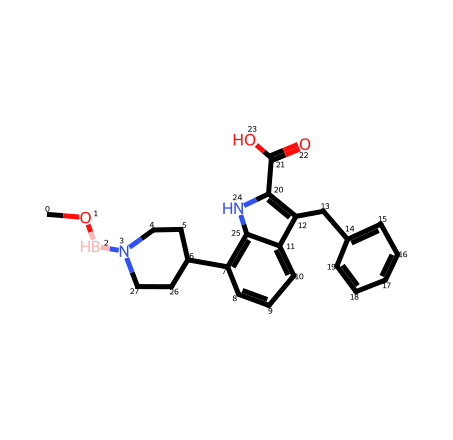 COBN1CCC(c2cccc3c(Cc4ccccc4)c(C(=O)O)[nH]c23)CC1